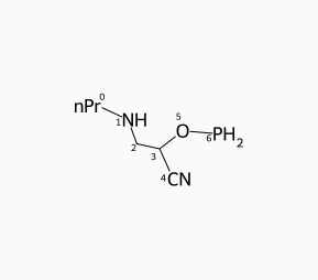 CCCNCC(C#N)OP